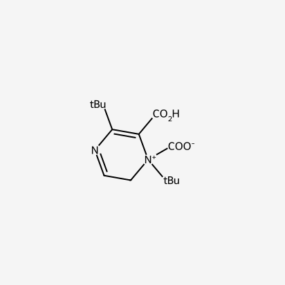 CC(C)(C)C1=C(C(=O)O)[N+](C(=O)[O-])(C(C)(C)C)CC=N1